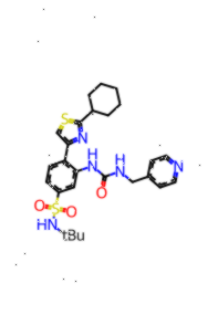 CC(C)(C)NS(=O)(=O)c1ccc(-c2csc([C]3CCCCC3)n2)c(NC(=O)NCc2ccncc2)c1